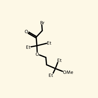 CCC(CC)(CCOC(CC)(CC)C(=O)CBr)OC